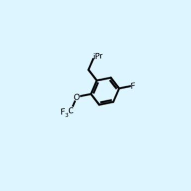 CC(C)Cc1cc(F)ccc1OC(F)(F)F